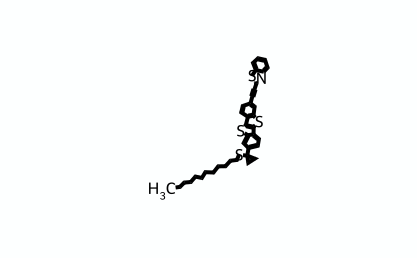 CCCCCCCCCCCCSC1(c2ccc3c(c2)sc2c4ccc(C#Cc5nc6ccccc6s5)cc4sc32)CC1